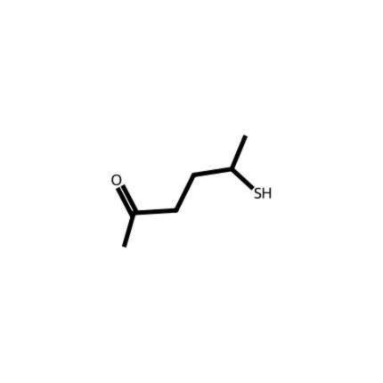 CC(=O)CCC(C)S